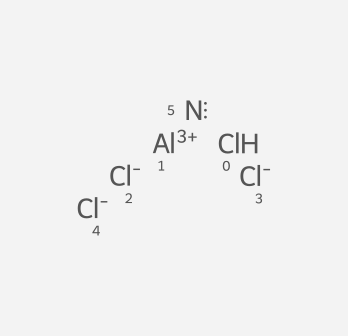 Cl.[Al+3].[Cl-].[Cl-].[Cl-].[N]